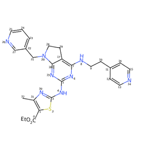 CCOC(=O)c1sc(Nc2nc(NCCc3ccncc3)c3c(n2)N(Cc2cccnc2)CC3)nc1C